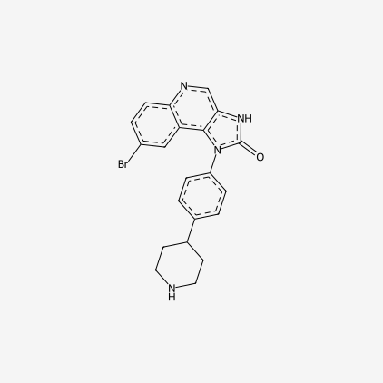 O=c1[nH]c2cnc3ccc(Br)cc3c2n1-c1ccc(C2CCNCC2)cc1